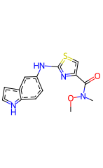 CON(C)C(=O)c1csc(Nc2ccc3[nH]ccc3c2)n1